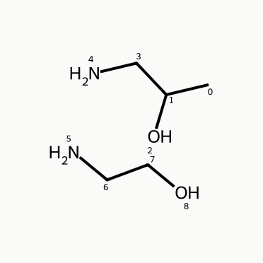 CC(O)CN.NCCO